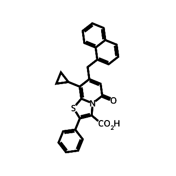 O=C(O)c1c(-c2ccccc2)sc2c(C3CC3)c(Cc3cccc4ccccc34)cc(=O)n12